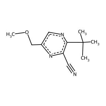 COCc1cnc(C(C)(C)C)c(C#N)n1